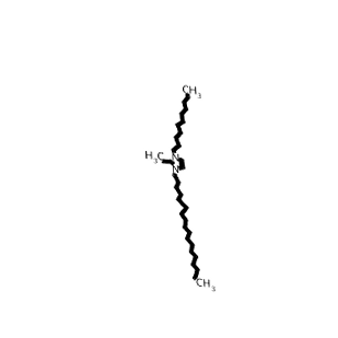 CCCCCCCCCCCCCCCCCCN1C=CN(CCCCCCCCCCC)C1CC